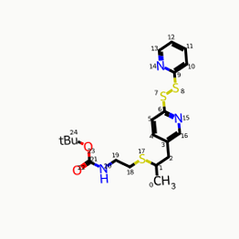 CC(Cc1ccc(SSc2ccccn2)nc1)SCCNC(=O)OC(C)(C)C